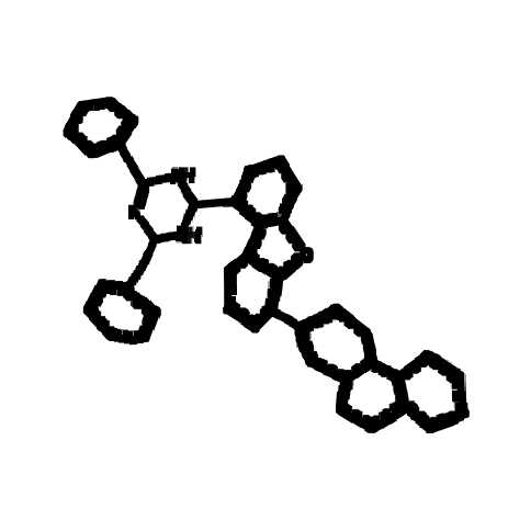 c1ccc(C2=NC(c3ccccc3)NC(c3cccc4oc5c(-c6ccc7c(ccc8ccccc87)c6)cccc5c34)N2)cc1